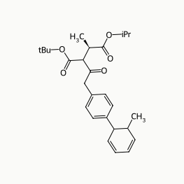 CC(C)OC(=O)[C@H](C)C(C(=O)Cc1ccc(C2C=CC=CC2C)cc1)C(=O)OC(C)(C)C